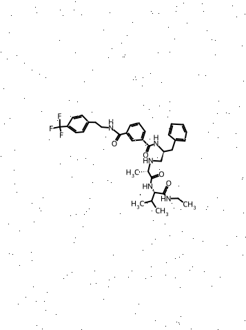 CCNC(=O)[C@@H](NC(=O)[C@H](C)NC[C@H](Cc1ccccc1)NC(=O)c1cccc(C(=O)NCCc2ccc(C(F)(F)F)cc2)c1)C(C)C